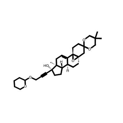 CC1(C)COC2(CC[C@]34O[C@]3(CC[C@@H]3C4=CC[C@@]4(C)[C@H]3CC[C@@]4(O)C#CCOC3CCCCO3)C2)OC1